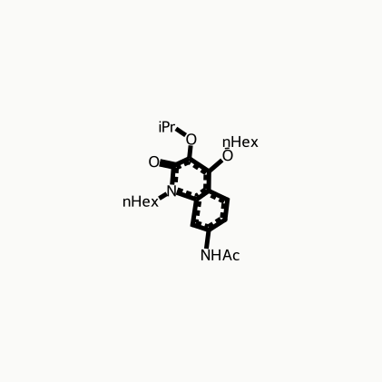 CCCCCCOc1c(OC(C)C)c(=O)n(CCCCCC)c2cc(NC(C)=O)ccc12